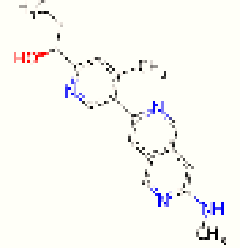 CC[C@H](O)c1cc(C)c(-c2cc3cnc(NC)cc3cn2)cn1